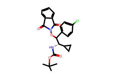 CC(C)(C)OC(=O)N[C@@H](C1CC1)C(ON1C(=O)c2ccccc2C1=O)c1ccc(Cl)cc1